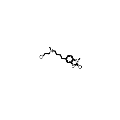 CN(CCCl)CCCCc1ccc2c(c1)sc(=O)n2C